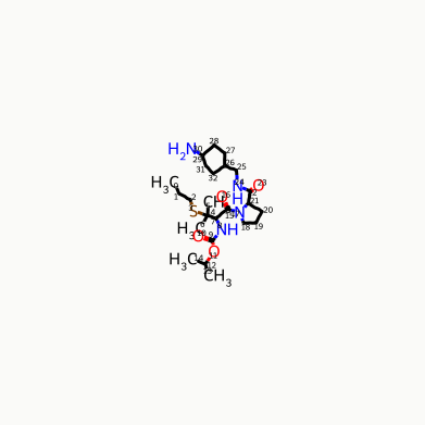 CCCSC(C)(C)C(NC(=O)OC(C)C)C(=O)N1CCCC1C(=O)NCC1CCC(N)CC1